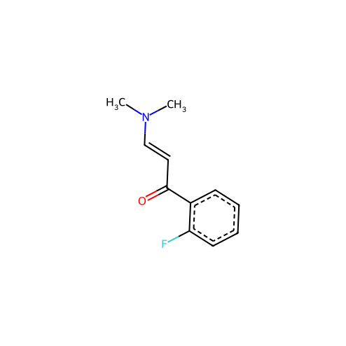 CN(C)C=CC(=O)c1ccccc1F